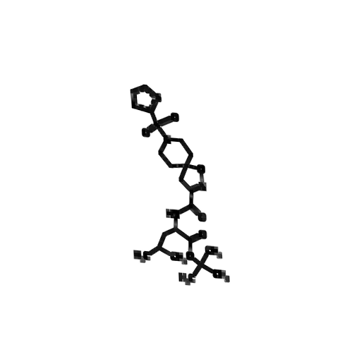 CC(C)CC(NC(=O)C1=NOC2(CCN(S(=O)(=O)c3cccs3)CC2)C1)C(=O)OC(C)(C)C